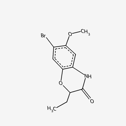 CCC1Oc2cc(Br)c(OC)cc2NC1=O